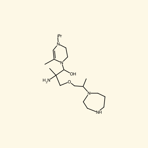 CC1=CN(C(C)C)CCN1C(O)C(C)(N)COCC(C)N1CCCNCC1